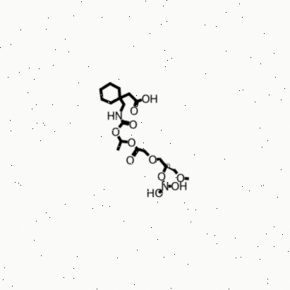 COC[C@H](COCC(=O)OC(C)OC(=O)NCC1(CC(=O)O)CCCCC1)ON(O)O